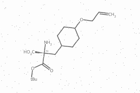 C=CCOC1CCC(C[C@](N)(C(=O)O)C(=O)OC(C)(C)C)CC1